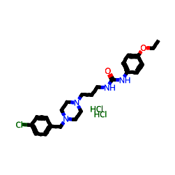 CCOc1ccc(NC(=O)NCCCN2CCN(Cc3ccc(Cl)cc3)CC2)cc1.Cl.Cl